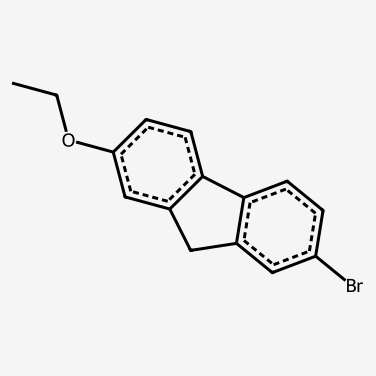 CCOc1ccc2c(c1)Cc1cc(Br)ccc1-2